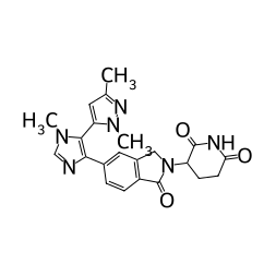 Cc1cc(-c2c(-c3ccc4c(c3)CN(C3CCC(=O)NC3=O)C4=O)ncn2C)n(C)n1